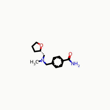 CN(Cc1ccc(C(N)=O)cc1)C[C@@H]1CCCO1